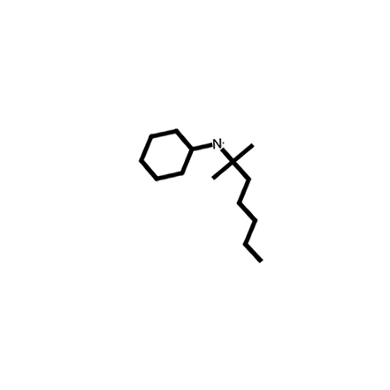 CCCCCC(C)(C)[N]C1CCCCC1